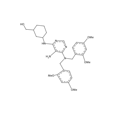 COc1ccc(CN(Cc2ccc(OC)cc2OC)c2ncnc(NC3CCCC(CO)C3)c2N)c(OC)c1